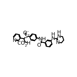 O=C(O)CC(c1cccnc1)[S+]([O-])c1ccc(NC(=O)c2cccc(NC3=NCCCN3)c2)cc1